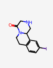 O=C1CNCC2c3cc(I)ccc3CCN12